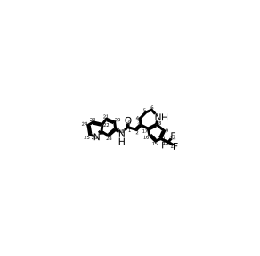 O=C(C=C1CCCNc2cc(C(F)(F)F)ccc21)Nc1ccc2cccnc2c1